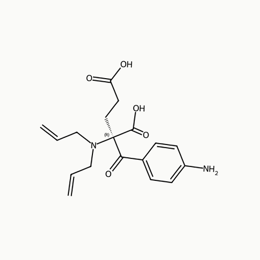 C=CCN(CC=C)[C@@](CCC(=O)O)(C(=O)O)C(=O)c1ccc(N)cc1